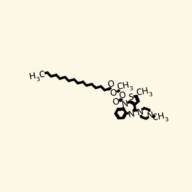 CCCCCCCCCCCCCCCC(=O)OC(C)OC(=O)N1c2ccccc2N=C(N2CCN(C)CC2)c2cc(C)sc21